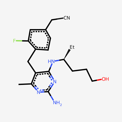 CC[C@@H](CCCO)Nc1nc(N)nc(C)c1Cc1ccc(CC#N)cc1F